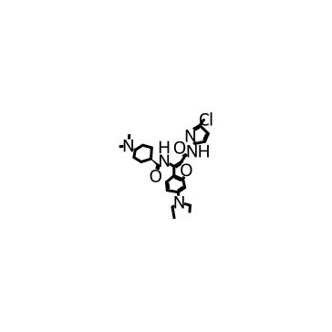 CCN(CC)c1ccc2c(NC(=O)[C@H]3CC[C@H](N(C)C)CC3)c(C(=O)Nc3ccc(Cl)cn3)oc2c1